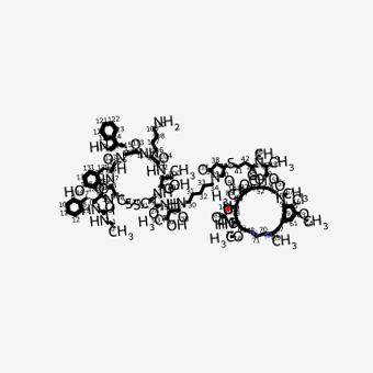 CCNC(=O)N[C@H](Cc1ccccc1)C(=O)N[C@H]1CSSC[C@@H](C(=O)N[C@H](C(=O)NCCCCCN2C(=O)CC(SCCC(=O)N(C)[C@@H](C)C(=O)O[C@H]3CC(=O)N(C)c4cc(cc(OC)c4Cl)C/C(C)=C/C=C/[C@@H](OC)[C@@]4(O)C[C@H](OC(=O)N4)[C@@H](C)[C@@H]4O[C@@]34C)C2=O)[C@@H](C)O)NC(=O)C([C@@H](C)O)NC(=O)[C@H](CCCCN)NC(=O)[C@@H](Cc2c[nH]c3ccccc23)NC(=O)[C@H](Cc2ccc(O)cc2)NC1=O